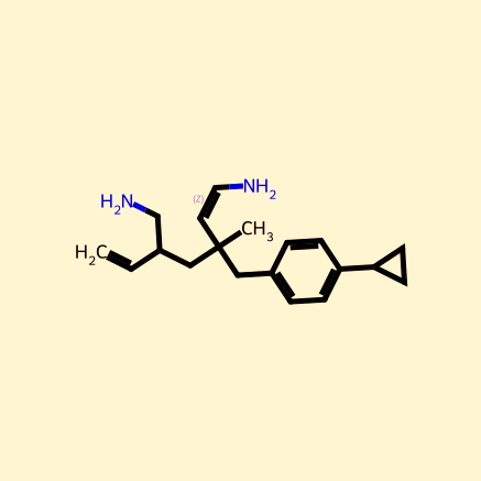 C=CC(CN)CC(C)(/C=C\N)Cc1ccc(C2CC2)cc1